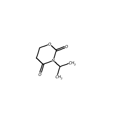 CC(C)N1C(=O)CCOC1=O